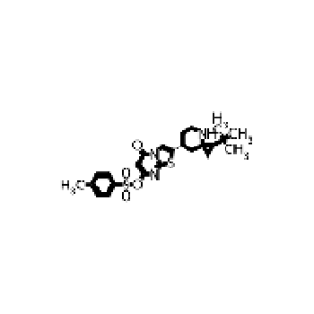 Cc1ccc(S(=O)(=O)Oc2cc(=O)n3cc([C@@H]4CCNC5(CC5C(C)(C)C)C4)sc3n2)cc1